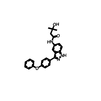 CC(C)(O)CC(=O)Nc1ccc2[nH]nc(-c3ccc(Oc4ccccc4)cc3)c2c1